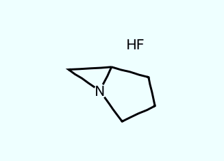 C1CC2CN2C1.F